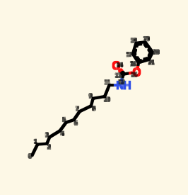 CCCCCCCCCCCCNC(=O)Oc1ccccc1